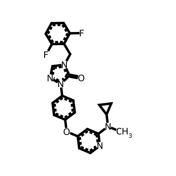 CN(c1cc(Oc2ccc(-n3ncn(Cc4c(F)cccc4F)c3=O)cc2)ccn1)C1CC1